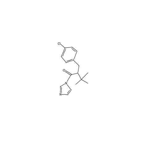 CC(C)(C)C(Cc1ccc(Cl)cc1)C(=O)n1ccnc1